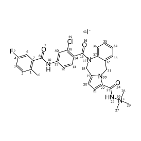 Cc1ccc(F)cc1C(=O)Nc1ccc(C(=O)N2Cc3ccc(C(=O)N[N+](C)(C)C)n3Cc3ccccc32)c(Cl)c1.[I-]